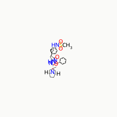 CS(=O)(=O)Nc1ccc(Cc2noc([C@@H]3C[C@H]4CC[C@@H](C3)N4CC[C@H](NC(=O)CC3CC3)c3ccccc3)n2)cc1